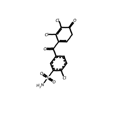 NS(=O)(=O)c1cc(C(=O)C2=CCC(=O)C(Cl)=C2Cl)ccc1Cl